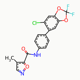 Cc1cnoc1C(=O)Nc1ccc(-c2cc3c(cc2Cl)OC(F)(F)O3)cc1